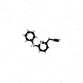 [C]#CCc1cccc(Sc2ccccc2)n1